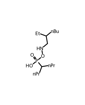 CCCCC(CC)CNOP(=O)(O)C(CCC)CCC